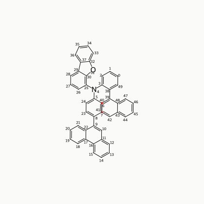 c1ccc(N(c2ccc(-c3cc4ccccc4c4ccccc34)cc2)c2cccc3c2oc2ccccc23)c(-c2cccc3ccccc23)c1